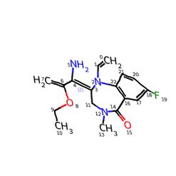 C=CN1/C(=C(\N)C(=C)OCC)CN(C)C(=O)c2cc(F)ccc21